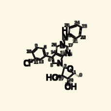 C[C@H]1O[C@@H](n2cc(-c3cccc(Cl)c3)c3c2N=CN(Nc2ccccc2)C3)[C@H](O)[C@@H]1O